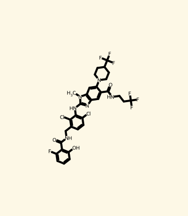 Cn1c(Nc2c(Cl)ccc(CNC(=O)c3c(O)cccc3F)c2Cl)nc2cc(C(=O)NCCC(F)(F)F)c(N3CCC(C(F)(F)F)CC3)cc21